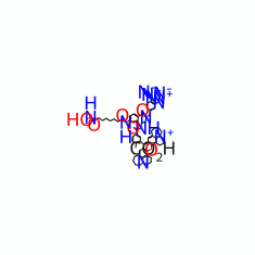 [N-]=[N+]=Nc1ccc(CN(CCNC(=O)c2ccc(C(=O)O)c(C3=c4cc5c6c(c4Oc4c3cc3c7c4CCCN7CCCC3)CCC[N+]=6CCCC5)c2)C(=O)c2ccc(NC(=O)CCCCCCC(=O)NO)cc2)cc1N=[N+]=[N-]